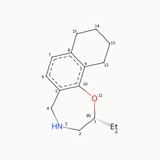 CC[C@@H]1CNCc2ccc3c(c2O1)CCCC3